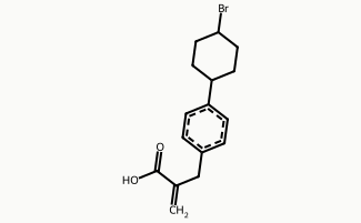 C=C(Cc1ccc(C2CCC(Br)CC2)cc1)C(=O)O